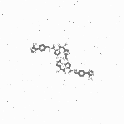 Cc1ncc([C@H](C(=O)N2C[C@H](OCc3nc([C@H](C(=O)N4C[C@H](O)C[C@H]4C(=O)NCc4ccc(-c5scnc5C)cc4)C(C)C)co3)C[C@H]2C(=O)NCc2ccc(-c3scnc3C)cc2)C(C)C)[nH]1